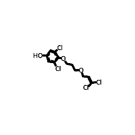 Oc1cc(Cl)c(OCCCOCC=C(Cl)Cl)c(Cl)c1